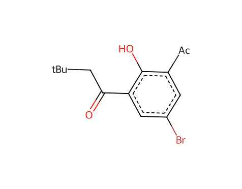 CC(=O)c1cc(Br)cc(C(=O)CC(C)(C)C)c1O